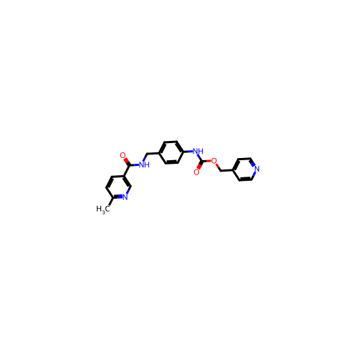 Cc1ccc(C(=O)NCc2ccc(NC(=O)OCc3ccncc3)cc2)cn1